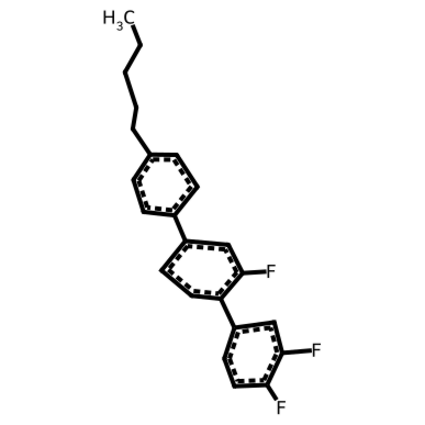 CCCCCc1ccc(-c2ccc(-c3ccc(F)c(F)c3)c(F)c2)cc1